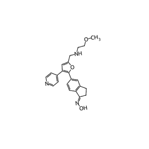 COCCNCc1cc(-c2ccncc2)c(-c2ccc3c(c2)CC/C3=N\O)o1